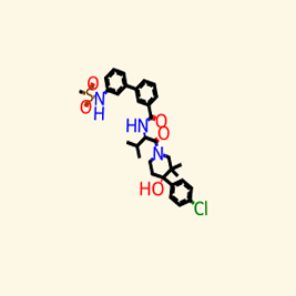 CC(C)[C@@H](NC(=O)c1cccc(-c2cccc(NS(C)(=O)=O)c2)c1)C(=O)N1CC[C@](O)(c2ccc(Cl)cc2)C(C)(C)C1